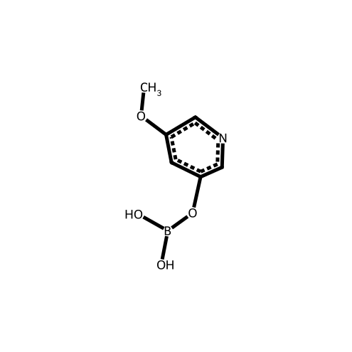 COc1cncc(OB(O)O)c1